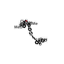 COc1cc(N2CCC(N3CCN(CCCCCSc4cccc5c4C(=O)N(C4CCC(=O)NC4=O)C5=O)CC3)CC2)ccc1Nc1ncc(Cl)c(Nc2ccccc2P(=O)(OC)OC)n1